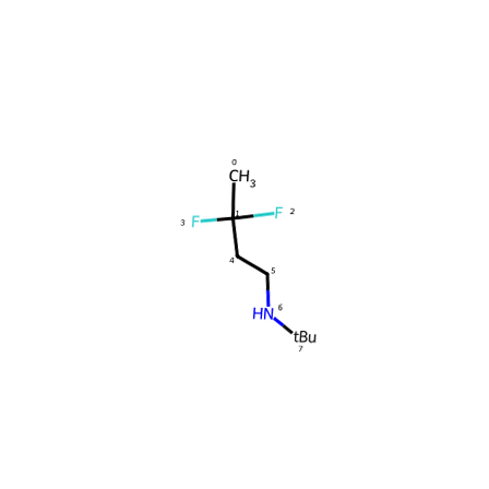 CC(F)(F)CCNC(C)(C)C